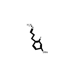 CSc1ccc(CCC=NN)c(F)c1